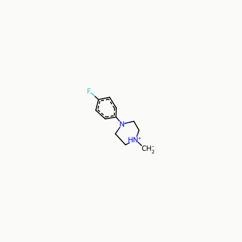 [CH2-][NH+]1CCN(c2ccc(F)cc2)CC1